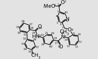 COC(=O)c1ccc(COc2ccccc2N(C)C(=O)c2ccc(NC(=O)c3ccccc3-c3ccc(C)cc3)cc2)nc1